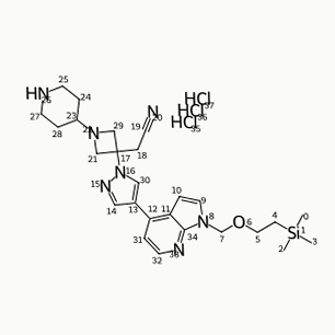 C[Si](C)(C)CCOCn1ccc2c(-c3cnn(C4(CC#N)CN(C5CCNCC5)C4)c3)ccnc21.Cl.Cl.Cl